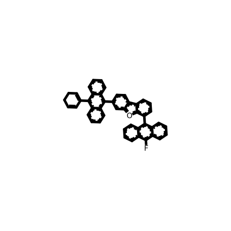 Fc1c2ccccc2c(-c2cccc3c2oc2cc(-c4c5ccccc5c(C5=CCCC=C5)c5ccccc45)ccc23)c2ccccc12